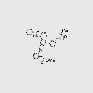 COC(=O)Cc1ccccc1OCc1cc(-c2cccc(CNC(=O)OC(C)(C)C)c2)cc(C(NC(=O)c2ccccc2)C(F)(F)F)c1